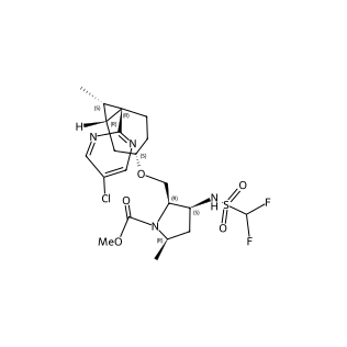 COC(=O)N1[C@H](C)C[C@H](NS(=O)(=O)C(F)F)[C@@H]1CO[C@H]1CC[C@]2(c3ncc(Cl)cn3)[C@H](C1)[C@@H]2C